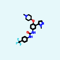 CN1CCC(Oc2ccc(NC(=O)Nc3ccc(C(F)(F)F)cc3)cc2-c2ccnn2C)CC1